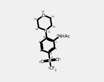 CC(=O)Nc1cc(S(=O)(=O)C(F)(F)F)ccc1N1CCOCC1